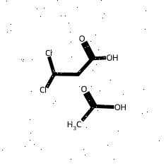 CC(=O)O.O=C(O)CC(Cl)Cl